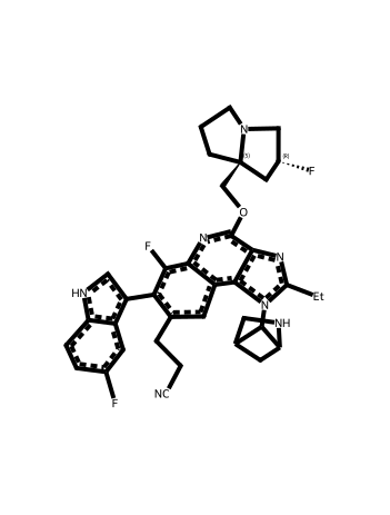 CCc1nc2c(OC[C@@]34CCCN3C[C@H](F)C4)nc3c(F)c(-c4c[nH]c5ccc(F)cc45)c(CCC#N)cc3c2n1C1C2CNC1C2